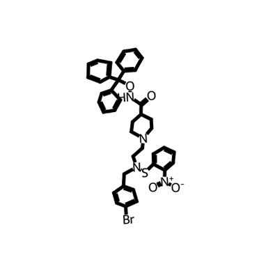 O=C(NOC(c1ccccc1)(c1ccccc1)c1ccccc1)C1CCN(CCN(Cc2ccc(Br)cc2)Sc2ccccc2[N+](=O)[O-])CC1